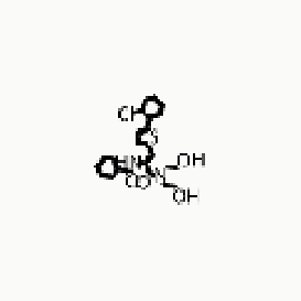 O=C(NC(=Cc1ccc(-c2ccccc2Cl)s1)C(=O)N(CCO)CCO)c1ccccc1